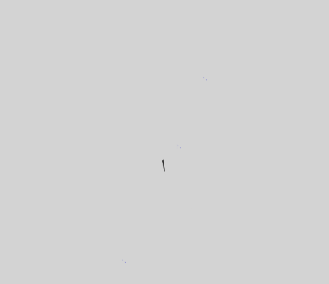 Cc1ccc2c3c(ccc2n1)OC[C@H](CNCCCN1CCOc2ccccc21)O3